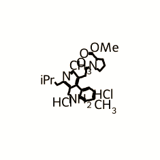 COC(=O)C1CCCN1C(=O)Cc1c(C)nc(CC(C)C)c(CN)c1-c1ccc(C)cc1.Cl.Cl